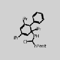 CCCCCC(Cl)PC1(C(C)C)C=C(C(C)C)C=C(C(C)C)C1c1ccccc1